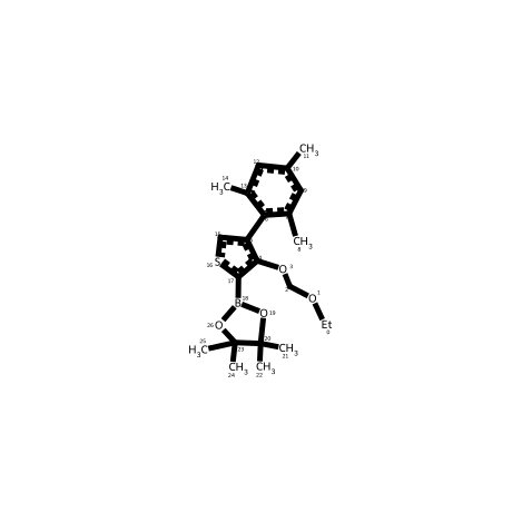 CCOCOc1c(-c2c(C)cc(C)cc2C)csc1B1OC(C)(C)C(C)(C)O1